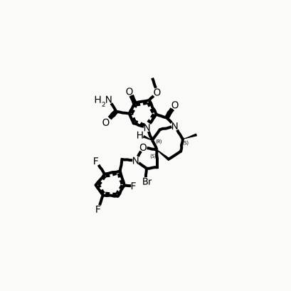 COc1c2n(cc(C(N)=O)c1=O)[C@@H]1CN(C2=O)[C@@H](C)CC[C@]12CC(Br)N(Cc1c(F)cc(F)cc1F)O2